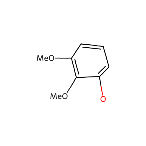 COc1cccc([O])c1OC